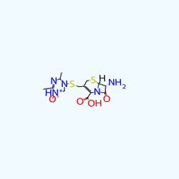 CC1=NC(C)N(SCC2=C(C(=O)O)N3C(=O)[C@@H](N)[C@H]3SC2)C[NH+]1[O-]